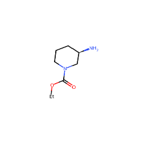 CCOC(=O)N1CCC[C@@H](N)C1